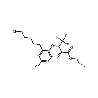 CCOC(=O)C1=Cc2cc(Cl)cc(CCCCCCl)c2OC1C(F)(F)F